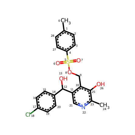 Cc1ccc(S(=O)(=O)OCc2c(C(O)c3ccc(Cl)cc3)cnc(C)c2O)cc1